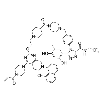 C=CC(=O)N1CCN(c2nc(OCCN3CCC(C(=O)N4CCN(Cc5ccc(-n6c(C(=O)NCC(F)(F)F)nnc6-c6cc(C)c(O)cc6O)cc5)CC4)CC3)nc3c2CCN(c2cccc4cccc(Cl)c24)C3)CC1